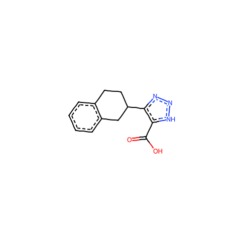 O=C(O)c1[nH]nnc1C1CCc2ccccc2C1